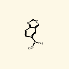 OB(O)c1ccc2c(c1)=COCN=2